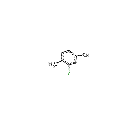 [CH2]c1ccc(C#N)cc1F